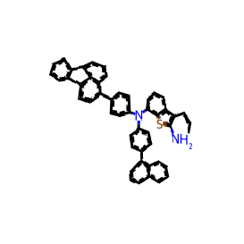 C/C=C\c1c(N)sc2c(N(c3ccc(-c4cccc5ccccc45)cc3)c3ccc(-c4ccc5c6c(cccc46)-c4ccccc4-5)cc3)cccc12